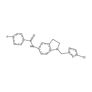 O=C(Nc1ccc2c(c1)CCN2Cc1ccc(Cl)s1)c1ccc(F)cc1